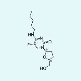 CCCCCNc1nc(=O)n([C@H]2CC[C@@H](CO)O2)cc1F